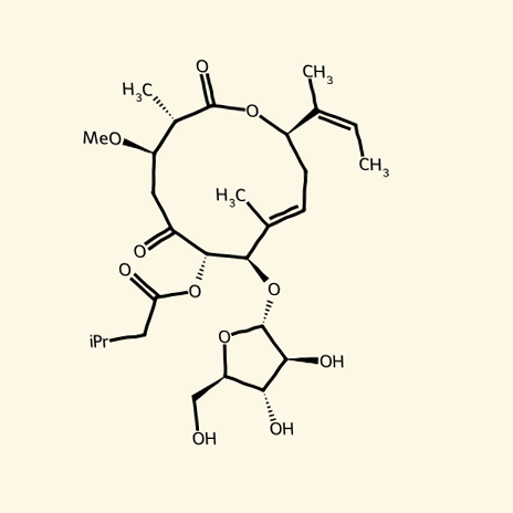 C/C=C(/C)[C@H]1C/C=C(\C)[C@@H](O[C@H]2O[C@H](CO)[C@@H](O)[C@@H]2O)[C@H](OC(=O)CC(C)C)C(=O)C[C@@H](OC)[C@H](C)C(=O)O1